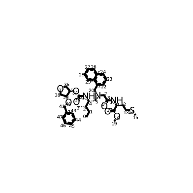 CC[C@H](C)[C@@H](CN(CC(=O)N[C@@H](CCSC)C(=O)OC)Cc1cccc2ccccc12)NC(=O)O[C@H]1COC[C@H]1OCc1ccccc1